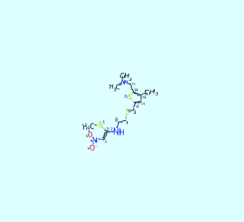 CSC(=C[N+](=O)[O-])NCCSCc1cc(C)c(CN(C)C)s1